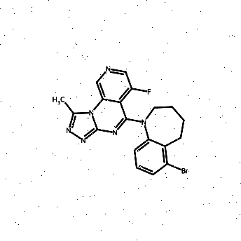 Cc1nnc2nc(N3CCCCc4c(Br)cccc43)c3c(F)cncc3n12